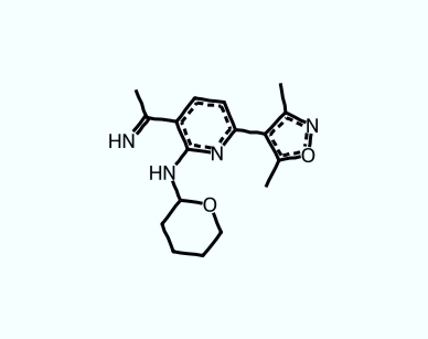 CC(=N)c1ccc(-c2c(C)noc2C)nc1NC1CCCCO1